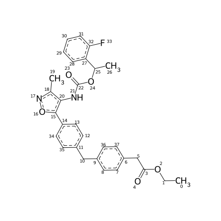 CCOC(=O)Cc1ccc(Cc2ccc(-c3onc(C)c3NC(=O)OC(C)c3ccccc3F)cc2)cc1